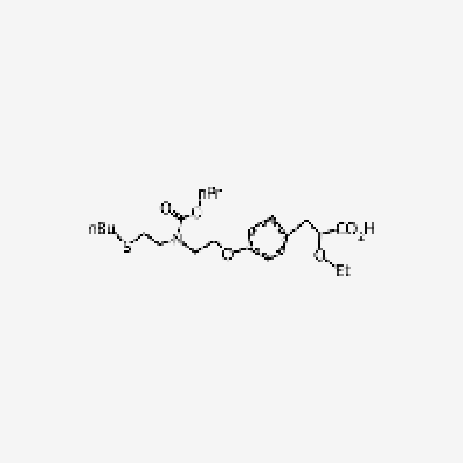 CCCCSCCN(CCOc1ccc(CC(OCC)C(=O)O)cc1)C(=O)OCCC